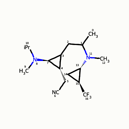 CC(CC1[C@H](CC#N)[C@H]1N(C)C(C)C)N(C)[C@H]1C[C@@H]1C(F)(F)F